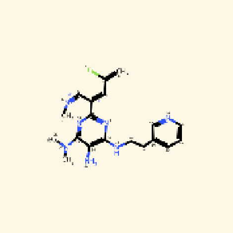 C=C(F)/C=C(\C=N/C)c1nc(NCCc2cccnc2)c(N)c(N(C)C(C)CC)n1